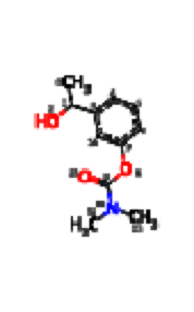 CC(O)c1cccc(OC(=O)N(C)C)c1